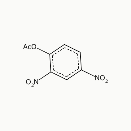 CC(=O)Oc1ccc([N+](=O)[O-])cc1[N+](=O)[O-]